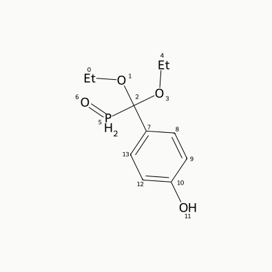 CCOC(OCC)([PH2]=O)c1ccc(O)cc1